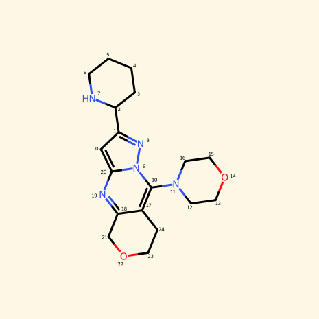 c1c(C2CCCCN2)nn2c(N3CCOCC3)c3c(nc12)COCC3